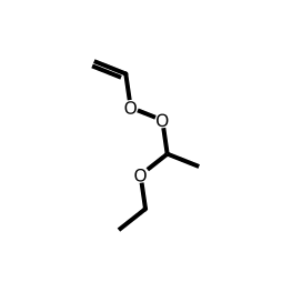 C=COOC(C)OCC